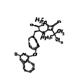 COC(=O)[C@H](Cc1ccc(Oc2nc(Cl)cc3ccccc23)cc1)Nc1c(C(C)(C)C)c(=O)c1=O